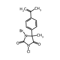 C=C(C)c1ccc(C2(C)C(=O)N(Cl)C(=O)N2Br)cc1